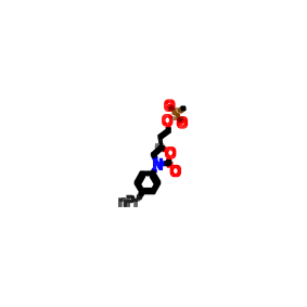 CCCc1ccc(N2C[C@@H](CCOS(C)(=O)=O)OC2=O)cc1